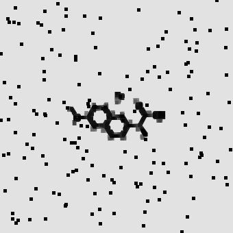 COc1ccc2cc([C@H](C)C(=O)O)ccc2c1.[Fe]